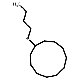 CCCC[P]C1CCCCCCCCCC1